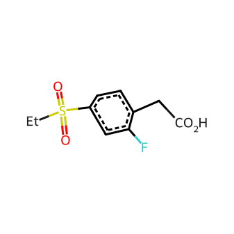 CCS(=O)(=O)c1ccc(CC(=O)O)c(F)c1